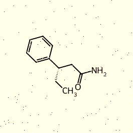 CC[C@@H](CC(N)=O)c1ccccc1